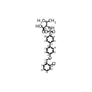 CC(C)[C@@H](NS(=O)(=O)c1ccc(-c2ccc(OCc3ccccc3Cl)cc2)cc1)C(=O)O